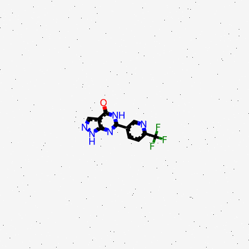 O=c1[nH]c(-c2ccc(C(F)(F)F)nc2)nc2[nH]ncc12